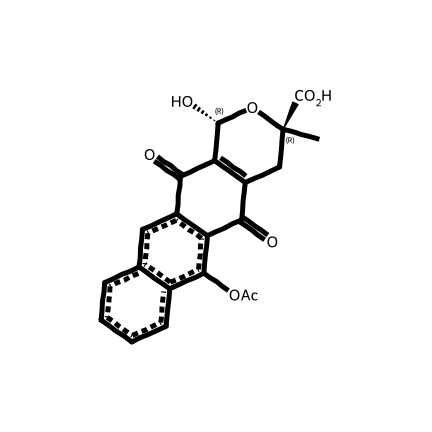 CC(=O)Oc1c2c(cc3ccccc13)C(=O)C1=C(C[C@](C)(C(=O)O)O[C@H]1O)C2=O